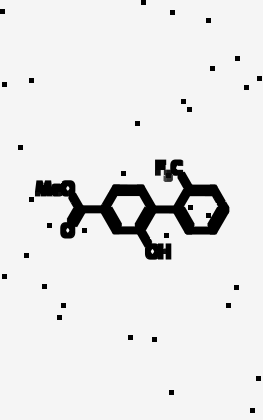 COC(=O)c1ccc(-c2ccccc2C(F)(F)F)c(O)c1